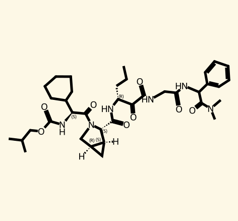 CCC[C@@H](NC(=O)[C@@H]1[C@H]2C[C@H]2CN1C(=O)[C@@H](NC(=O)OCC(C)C)C1CCCCC1)C(=O)C(=O)NCC(=O)NC(C(=O)N(C)C)c1ccccc1